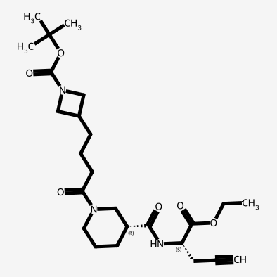 C#CC[C@H](NC(=O)[C@@H]1CCCN(C(=O)CCCC2CN(C(=O)OC(C)(C)C)C2)C1)C(=O)OCC